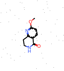 COc1ccc2c(n1)CCNC2=O